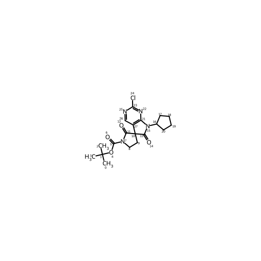 CC(C)(C)OC(=O)N1CCC2(C1=O)C(=O)N(C1CCCC1)c1nc(Cl)ncc12